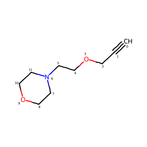 C#CCOCCN1CCOCC1